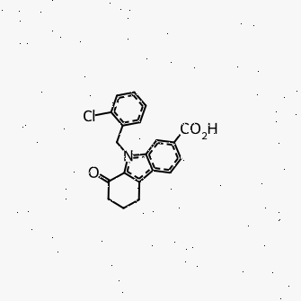 O=C(O)c1ccc2c3c(n(Cc4ccccc4Cl)c2c1)C(=O)CCC3